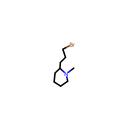 CN1CCCCC1CCCBr